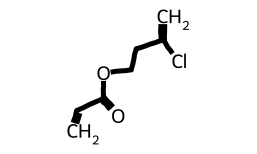 C=CC(=O)OCCC(=C)Cl